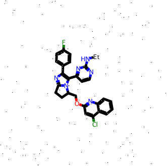 CCNc1nccc(-c2c(-c3ccc(F)cc3)nc3n2C(COc2cc(Cl)c4ccccc4n2)CC3)n1